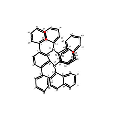 c1ccc(-c2ccc(-c3ccccc3)c(N(c3ccccc3)c3cccc4ccccc34)c2N(c2ccccc2)c2cccc3ccccc23)cc1